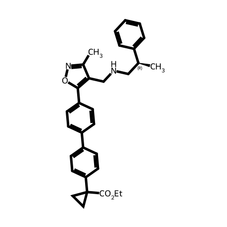 CCOC(=O)C1(c2ccc(-c3ccc(-c4onc(C)c4CNC[C@H](C)c4ccccc4)cc3)cc2)CC1